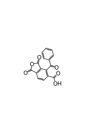 O=C(O)c1ccc2c(c1C(=O)c1ccccc1)C(=O)OC2=O